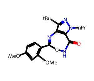 CCCn1nc(C(C)(C)C)c2c1C(=O)NCC(c1ccc(OC)cc1OC)=N2